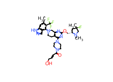 Cc1cc2[nH]ncc2c(N2CCc3c(nc(OC[C@@H]4CC(C)(F)CN4C)nc3N3CCN(C(=O)/C=C/CO)CC3)C2)c1C(F)(F)F